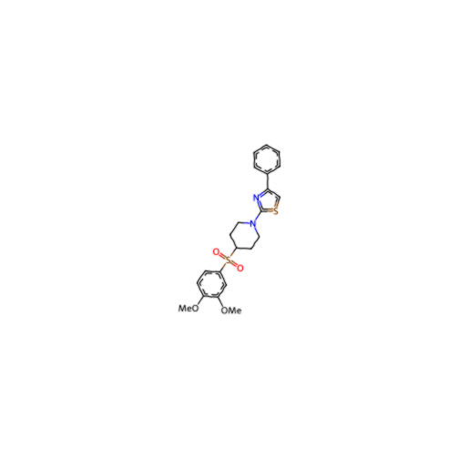 COc1ccc(S(=O)(=O)C2CCN(c3nc(-c4ccccc4)cs3)CC2)cc1OC